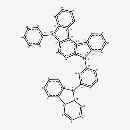 C1=CC2c3ccccc3N(c3cccc(-n4c5ccccc5c5c6c7ccccc7n(-c7ccccc7)c6ccc54)n3)C2C=C1